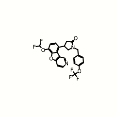 O=C1CC(c2ccc(OC(F)F)c3oc4ccncc4c23)CN1Cc1ccc(OC(F)(F)F)cc1